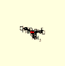 NCC(=O)O[C@@H]1CC2(NC(=O)COc3ccc(Cl)c(F)c3)CCC1(NC(=O)COc1ccc(Cl)c(F)c1)CC2